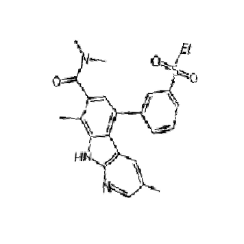 CCS(=O)(=O)c1cccc(-c2cc(C(=O)N(C)C)c(C)c3[nH]c4ncc(C)cc4c23)c1